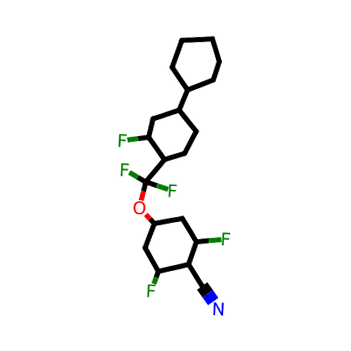 N#CC1C(F)CC(OC(F)(F)C2CCC(C3CCCCC3)CC2F)CC1F